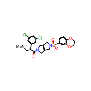 CNC[C@H](C(=O)N1CC2=C(C1)CN(S(=O)(=O)c1ccc3c(c1)OCCO3)C2)c1cc(Cl)cc(Cl)c1